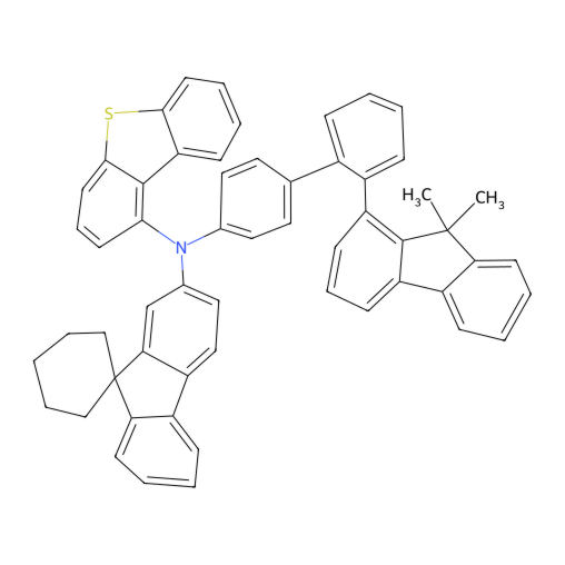 CC1(C)c2ccccc2-c2cccc(-c3ccccc3-c3ccc(N(c4ccc5c(c4)C4(CCCCC4)c4ccccc4-5)c4cccc5sc6ccccc6c45)cc3)c21